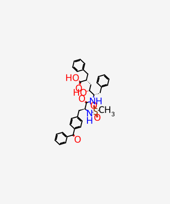 CS(=O)(=O)N[C@@H](Cc1ccc(C(=O)c2ccccc2)cc1)C(=O)N[C@@H](Cc1ccccc1)[C@H](O)C[C@@H](Cc1ccccc1)C(=O)O